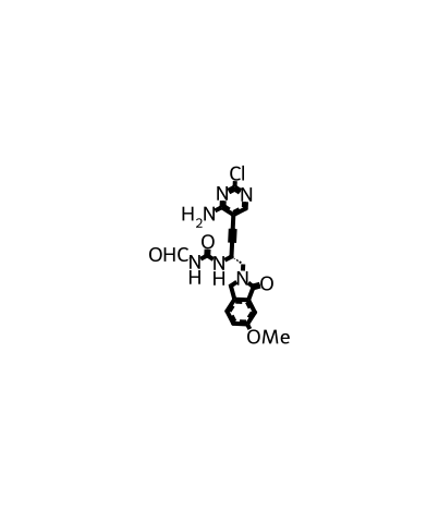 COc1ccc2c(c1)C(=O)N(C[C@@H](C#Cc1cnc(Cl)nc1N)NC(=O)NC=O)C2